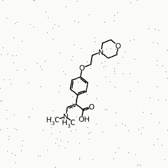 CN(C)C=C(C(=O)O)c1ccc(OCCN2CCOCC2)cc1